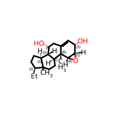 CC[C@H]1CC[C@H]2[C@@H]3[C@H](O)CC4=C[C@H](O)[C@@H]5O[C@@H]5[C@]4(C)[C@H]3CC[C@]12C